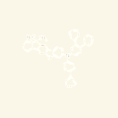 CC1(C)c2ccccc2-c2cc3oc4cc(N(c5ccc(-c6ccccc6)cc5)c5ccc(-c6ccccc6)c(-c6ccccc6)c5)ccc4c3cc21